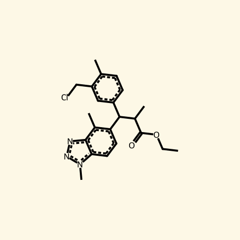 CCOC(=O)C(C)C(c1ccc(C)c(CCl)c1)c1ccc2c(nnn2C)c1C